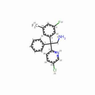 NCC(c1ccccc1)(c1cc(F)cc(C(F)(F)F)c1)c1ccc(Cl)cn1